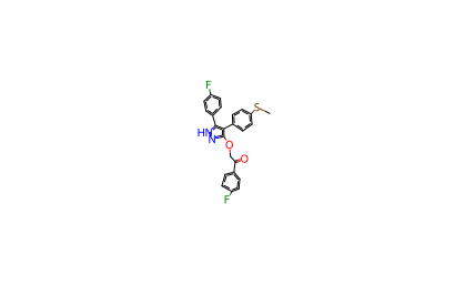 CSc1ccc(-c2c(OCC(=O)c3ccc(F)cc3)n[nH]c2-c2ccc(F)cc2)cc1